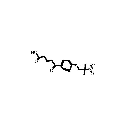 CC(C)(CNc1ccc(C(=O)CCCC(=O)O)cc1)[N+](=O)[O-]